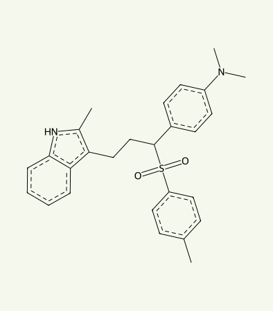 Cc1ccc(S(=O)(=O)C(CCc2c(C)[nH]c3ccccc23)c2ccc(N(C)C)cc2)cc1